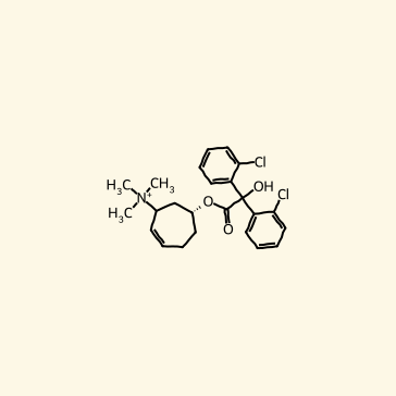 C[N+](C)(C)C1C=CCC[C@@H](OC(=O)C(O)(c2ccccc2Cl)c2ccccc2Cl)C1